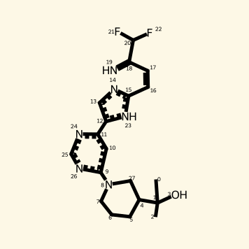 CC(C)(O)C1CCCN(c2cc(-c3cnc(/C=C\C(=N)C(F)F)[nH]3)ncn2)C1